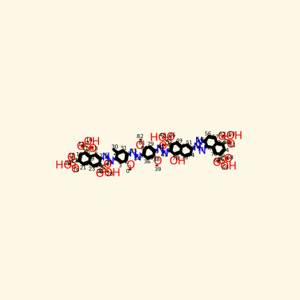 COc1cc(N=Nc2cc3c(S(=O)(=O)O)cc(S(=O)(=O)O)cc3cc2S(=O)(=O)O)c(C)cc1N=Nc1cc(OC)c(N=Nc2c(S(=O)(=O)O)cc3cc(-n4nc5ccc6c(S(=O)(=O)O)cc(S(=O)(=O)O)cc6c5n4)ccc3c2O)cc1OC